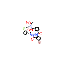 CC(=NNC(=O)c1cc(Br)ccc1NC(=O)c1cccc(CN(CC(C)O)CC(C)O)c1)c1cccc(F)c1